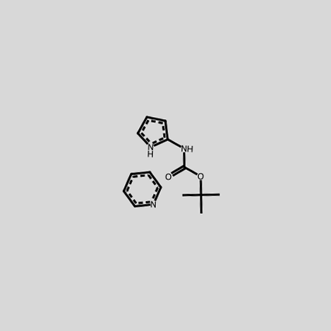 CC(C)(C)OC(=O)Nc1ccc[nH]1.c1ccncc1